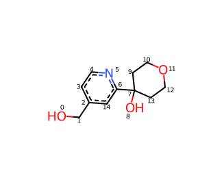 OCc1ccnc(C2(O)CCOCC2)c1